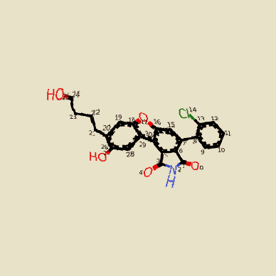 O=C1NC(=O)c2c1c(-c1ccccc1Cl)cc1oc3cc(CCCCO)c(O)cc3c21